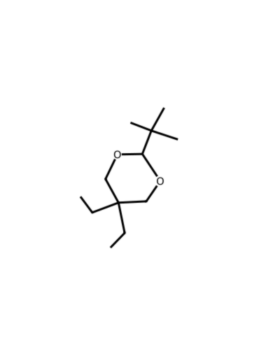 CCC1(CC)COC(C(C)(C)C)OC1